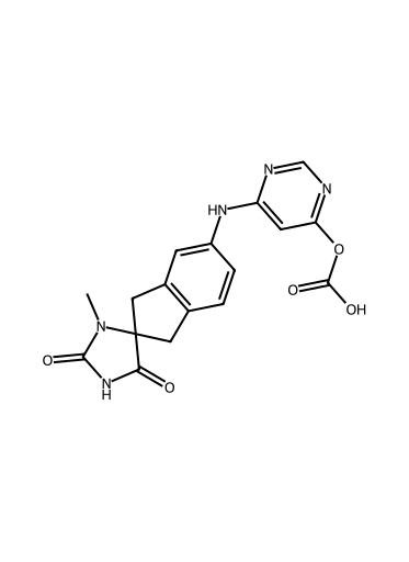 CN1C(=O)NC(=O)C12Cc1ccc(Nc3cc(OC(=O)O)ncn3)cc1C2